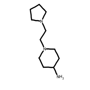 NC1CCN(CCN2CCCC2)CC1